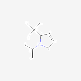 CC(C)N1CC=CC1C(C)(C)C